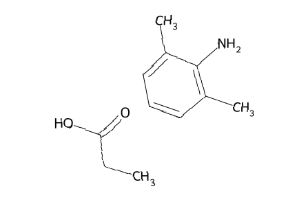 CCC(=O)O.Cc1cccc(C)c1N